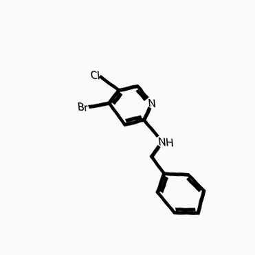 Clc1cnc(NCc2ccccc2)cc1Br